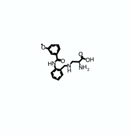 COc1cccc(C(=O)Nc2ccccc2CNC[C@H](N)C(=O)O)c1